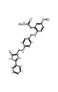 CCOc1ccc(OCc2ccc(OCc3nc(-c4ccccc4)oc3C)cc2)c(CC(=O)OC)c1